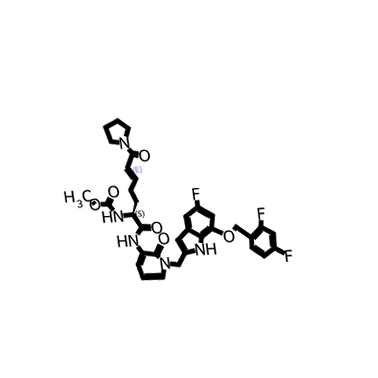 COC(=O)N[C@@H](CC/C=C/C(=O)N1CCCC1)C(=O)Nc1cccn(Cc2cc3cc(F)cc(OCc4ccc(F)cc4F)c3[nH]2)c1=O